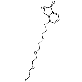 O=C1NCc2c(SCCOCCOCCOCCI)cccc21